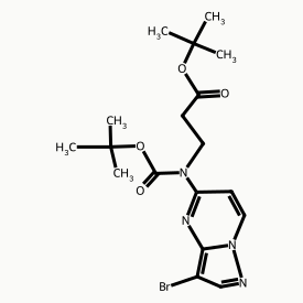 CC(C)(C)OC(=O)CCN(C(=O)OC(C)(C)C)c1ccn2ncc(Br)c2n1